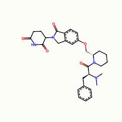 CN(C)[C@@H](Cc1ccccc1)C(=O)N1CCCC[C@H]1COc1ccc2c(c1)CN(C1CCC(=O)NC1=O)C2=O